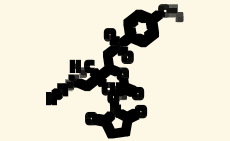 Cc1ccc(S(=O)(=O)CC(OC(=O)ON2C(=O)CCC2=O)C(C)(C)CN=[N+]=[N-])cc1